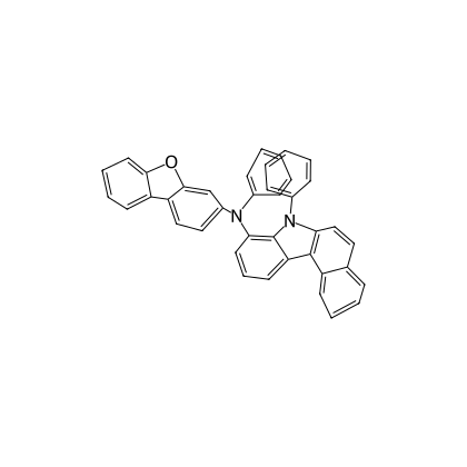 c1ccc(N(c2ccc3c(c2)oc2ccccc23)c2cccc3c4c5ccccc5ccc4n(-c4ccccc4)c23)cc1